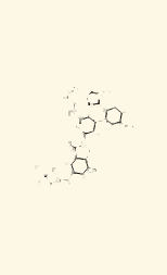 Cn1cnnc1-c1ccc(C#N)cc1-c1cc(NCCC#N)nc(N2Cc3c(cc(CN4CC(C)(O)C4)cc3C(F)(F)F)C2=O)c1